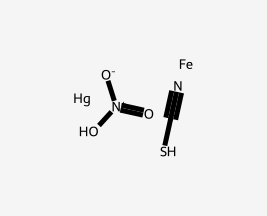 N#CS.O=[N+]([O-])O.[Fe].[Hg]